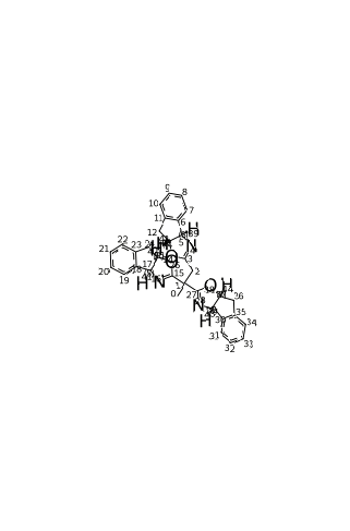 CC(CC1=N[C@H]2c3ccccc3C[C@H]2O1)(C1=N[C@H]2c3ccccc3C[C@H]2O1)C1=N[C@H]2c3ccccc3C[C@H]2O1